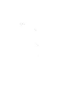 COc1ncc(NCc2ccccc2)c(C)c1F